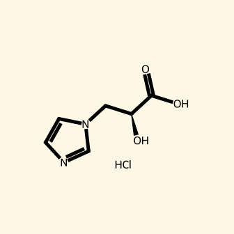 Cl.O=C(O)[C@@H](O)Cn1ccnc1